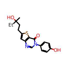 CCC(C)(O)CCc1cc2ncn(-c3ccc(O)cc3)c(=O)c2s1